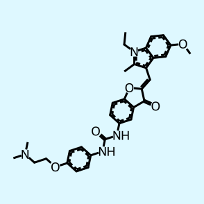 CCn1c(C)c(C=C2Oc3ccc(NC(=O)Nc4ccc(OCCN(C)C)cc4)cc3C2=O)c2cc(OC)ccc21